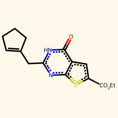 CCOC(=O)c1cc2c(=O)[nH]c(CC3=CCCC3)nc2s1